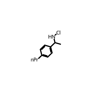 CCCc1ccc(C(C)NCl)cc1